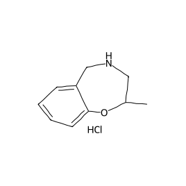 CC1CNCc2ccccc2O1.Cl